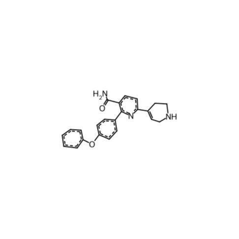 NC(=O)c1ccc(C2=CCNCC2)nc1-c1ccc(Oc2ccccc2)cc1